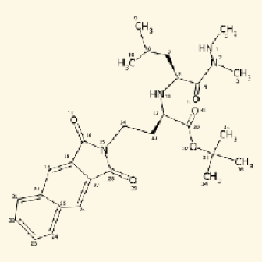 CNN(C)C(=O)[C@H](CC(C)C)N[C@H](CCN1C(=O)c2cc3ccccc3cc2C1=O)C(=O)OC(C)(C)C